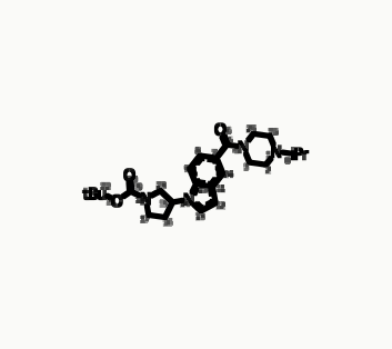 CC(C)N1CCN(C(=O)c2ccc3c(ccn3C3CCN(C(=O)OC(C)(C)C)C3)c2)CC1